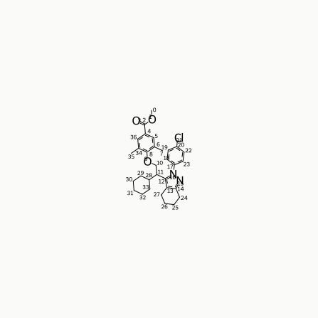 COC(=O)c1cc(C)c(OCC(c2c3c(nn2-c2ccc(Cl)cc2)CCCC3)C2CCCCC2)c(C)c1